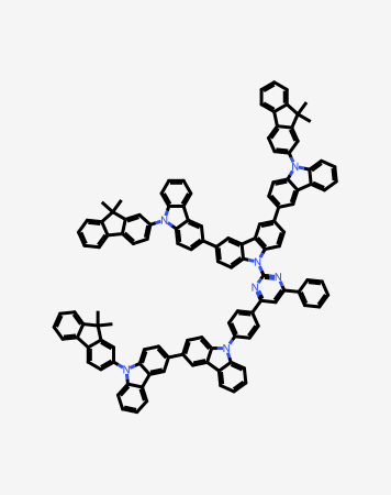 CC1(C)c2ccccc2-c2ccc(-n3c4ccccc4c4cc(-c5ccc6c(c5)c5ccccc5n6-c5ccc(-c6cc(-c7ccccc7)nc(-n7c8ccc(-c9ccc%10c(c9)c9ccccc9n%10-c9ccc%10c(c9)C(C)(C)c9ccccc9-%10)cc8c8cc(-c9ccc%10c(c9)c9ccccc9n%10-c9ccc%10c(c9)C(C)(C)c9ccccc9-%10)ccc87)n6)cc5)ccc43)cc21